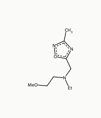 CCN(CCOC)Cc1nc(C)no1